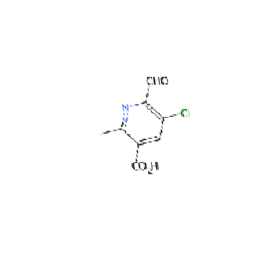 Cc1nc(C=O)c(Cl)cc1C(=O)O